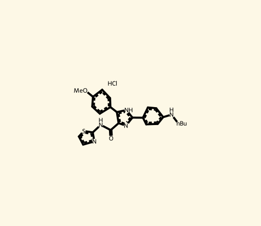 CCCCNc1ccc(-c2nc(C(=O)Nc3nccs3)c(-c3ccc(OC)cc3)[nH]2)cc1.Cl